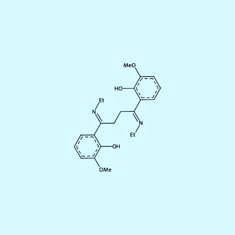 CCN=C(CCC(=NCC)c1cccc(OC)c1O)c1cccc(OC)c1O